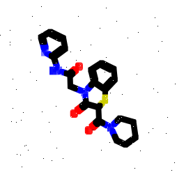 O=C(CN1C(=O)C(C(=O)N2CCCCC2)Sc2ccccc21)Nc1ccccn1